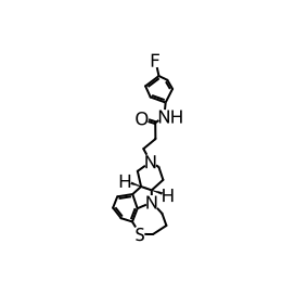 O=C(CCN1CC[C@H]2[C@@H](C1)c1cccc3c1N2CCCS3)Nc1ccc(F)cc1